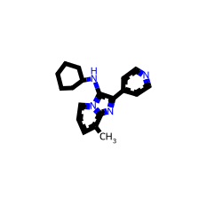 Cc1cccn2c(NC3CCCCC3)c(-c3ccncc3)nc12